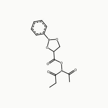 CCC(=O)N(OC(=O)C1COB(c2ccccc2)O1)C(C)=O